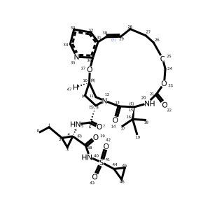 CCC1C[C@]1(NC(=O)[C@@H]1C[C@@H]2CN1C(=O)[C@H](C(C)(C)C)NC(=O)OCCCCC/C=C/c1cccnc1O2)C(=O)NS(=O)(=O)C1CC1